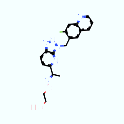 C/C(=N\OCCO)c1ccc2nnn(Cc3cc4cccnc4cc3F)c2n1